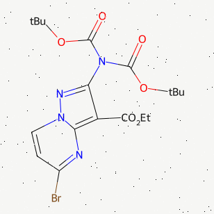 CCOC(=O)c1c(N(C(=O)OC(C)(C)C)C(=O)OC(C)(C)C)nn2ccc(Br)nc12